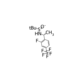 C[C@H](N[S+]([O-])C(C)(C)C)c1ccc(S(F)(F)(F)(F)F)cc1F